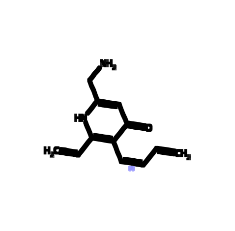 C=C/C=C\c1c(C=C)[nH]c(CN)cc1=O